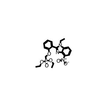 CCOP(=O)(COc1ccccc1-c1nc2c([N+](=O)[O-])cccc2n1CC)OCC